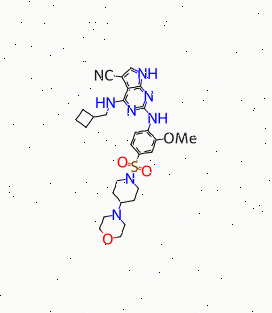 COc1cc(S(=O)(=O)N2CCC(N3CCOCC3)CC2)ccc1Nc1nc(NCC2CCC2)c2c(C#N)c[nH]c2n1